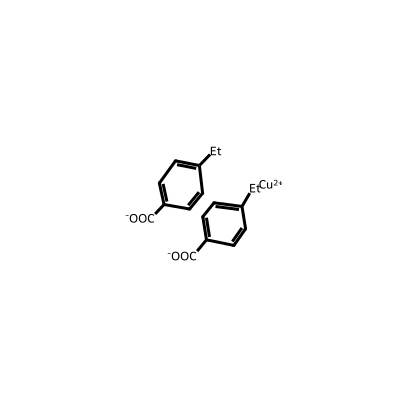 CCc1ccc(C(=O)[O-])cc1.CCc1ccc(C(=O)[O-])cc1.[Cu+2]